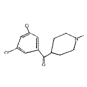 CN1CCC(C(=O)c2cc(Cl)cc(Cl)c2)CC1